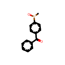 C[S+]([O-])c1ccc(C(=O)c2ccccc2)cc1